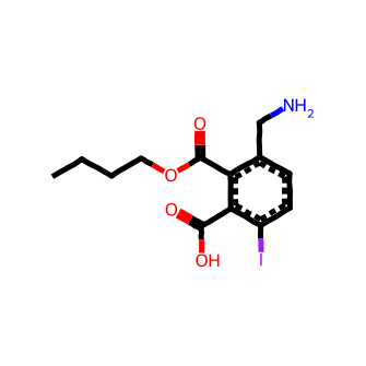 CCCCOC(=O)c1c(CN)ccc(I)c1C(=O)O